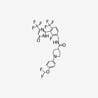 O=C(NCc1ccc(C(F)(F)F)c(-c2nc(C(F)(F)F)cc(=O)[nH]2)c1F)C1CCN(c2ccc(OC(F)F)cc2)CC1